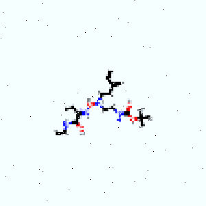 C=CC(=C)CCN(CCNC(=O)OC(C)(C)C)O/N=C(\CC)C(=O)NCC